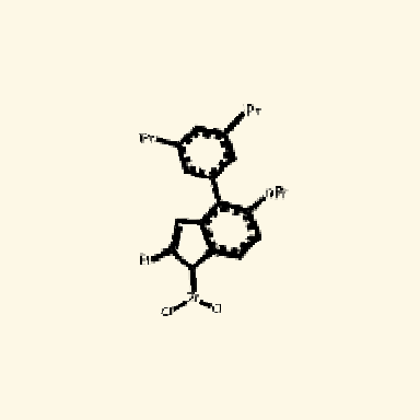 CCCc1ccc2c(c1-c1cc(C(C)C)cc(C(C)C)c1)C=C(CC)[CH]2[Zr]([Cl])[Cl]